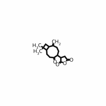 C=C1CCC(C2CC(=O)OC2=O)C(=O)CCC2C1CC2(C)C